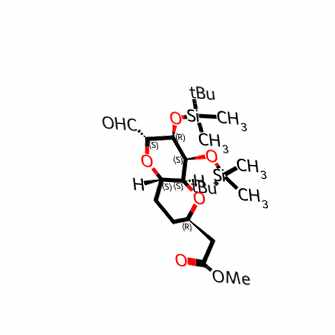 COC(=O)C[C@H]1CC[C@@H]2O[C@H](C=O)[C@@H](O[Si](C)(C)C(C)(C)C)[C@@H](O[Si](C)(C)C(C)(C)C)[C@H]2O1